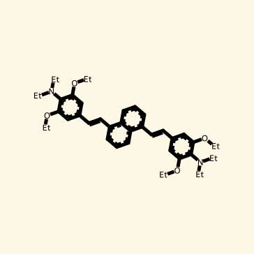 CCOc1cc(/C=C/c2cccc3c(/C=C/c4cc(OCC)c(N(CC)CC)c(OCC)c4)cccc23)cc(OCC)c1N(CC)CC